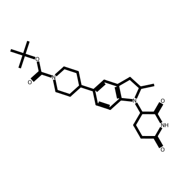 CC1Cc2cc(C3CCN(C(=O)OC(C)(C)C)CC3)ccc2N1C1CCC(=O)NC1=O